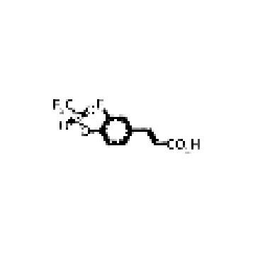 O=C(O)/C=C/c1ccc(OS(=O)(=O)C(F)(F)F)c(F)c1